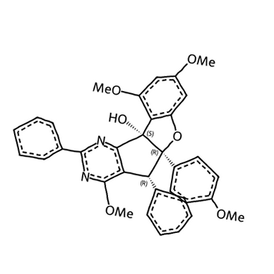 COc1ccc([C@@]23Oc4cc(OC)cc(OC)c4[C@]2(O)c2nc(-c4ccccc4)nc(OC)c2[C@H]3c2ccccc2)cc1